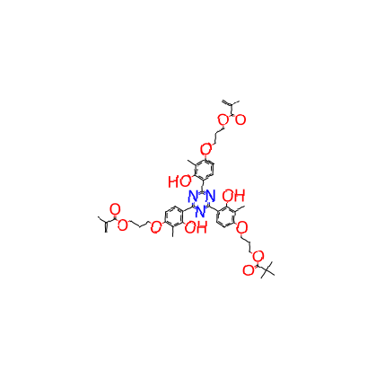 C=C(C)C(=O)OCCCOc1ccc(-c2nc(-c3ccc(OCCCOC(=O)C(=C)C)c(C)c3O)nc(-c3ccc(OCCCOC(=O)C(C)(C)C)c(C)c3O)n2)c(O)c1C